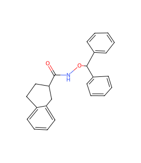 O=C(NOC(c1ccccc1)c1ccccc1)C1CCc2ccccc2C1